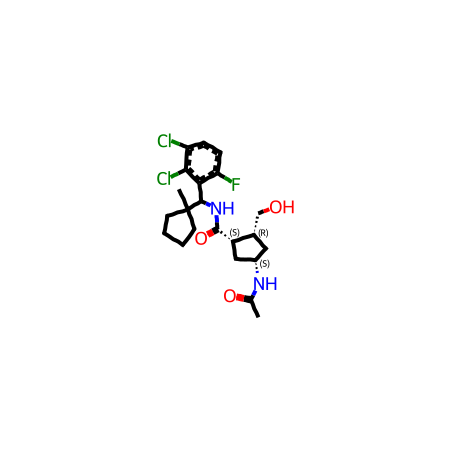 CC(=O)N[C@H]1C[C@@H](CO)[C@@H](C(=O)NC(c2c(F)ccc(Cl)c2Cl)C2(C)CCCC2)C1